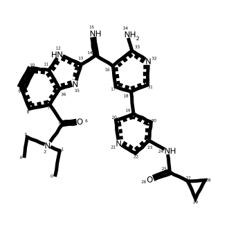 CCN(CC)C(=O)c1cc#cc2[nH]c(C(=N)c3cc(-c4cncc(NC(=O)C5CC5)c4)cnc3N)nc12